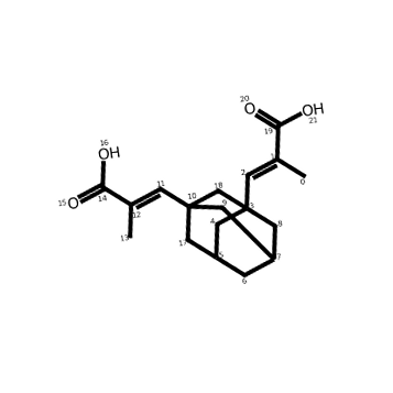 C/C(=C\C12CC3CC(C1)CC(/C=C(\C)C(=O)O)(C3)C2)C(=O)O